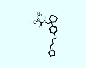 CN(C)C(=O)NCC1(c2ccc(OCCCN3CCCC3)cc2)CCOCC1